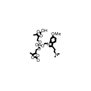 COc1ccc2c(CCN(C)C)cn(COP(=O)(OCC3=C(C)OC(O)O3)OCc3oc(=O)oc3C)c2c1